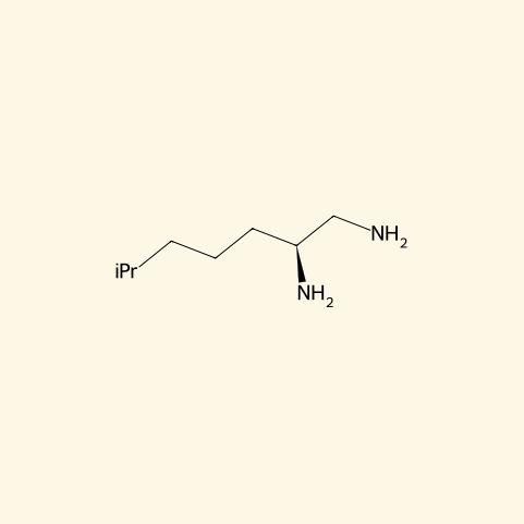 CC(C)CCC[C@H](N)CN